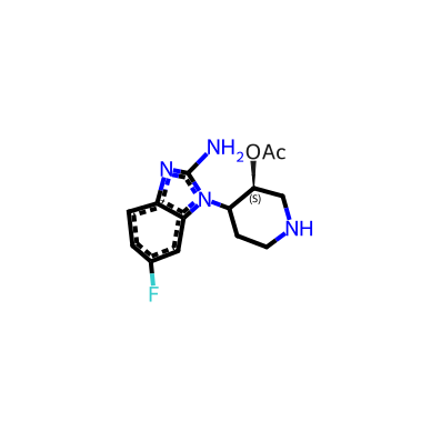 CC(=O)O[C@H]1CNCCC1n1c(N)nc2ccc(F)cc21